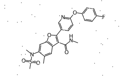 CNC(=O)c1c(-c2ccc(Oc3ccc(F)cc3)nc2)oc2cc(N(C)S(C)(=O)=O)c(C)cc12